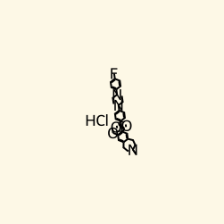 COc1cc2c(cc1S(=O)(=O)c1ccc(N3CCN(c4ccc(F)cc4)CC3)cc1)CCN(C)CC2.Cl